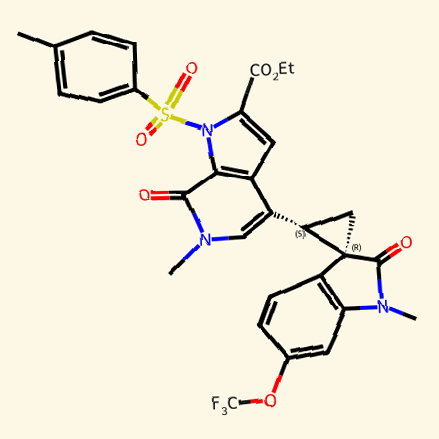 CCOC(=O)c1cc2c([C@@H]3C[C@@]34C(=O)N(C)c3cc(OC(F)(F)F)ccc34)cn(C)c(=O)c2n1S(=O)(=O)c1ccc(C)cc1